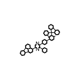 Cc1ccccc1C1(c2cc(-c3ccc(-c4ncc(-c5ccc6c7c(cccc57)-c5ccccc5-6)nc4-c4ccccc4)cc3)ccc2C)c2ccccc2-c2ccccc21